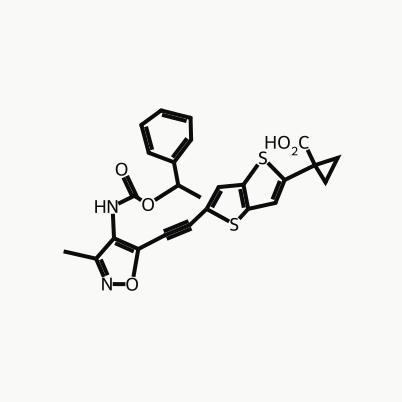 Cc1noc(C#Cc2cc3sc(C4(C(=O)O)CC4)cc3s2)c1NC(=O)OC(C)c1ccccc1